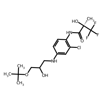 CC(C)(C)OCC(O)CNc1ccc(NC(=O)[C@@](C)(O)C(F)(F)F)c(Cl)c1